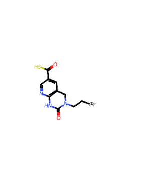 CC(C)CCN1Cc2cc(C(=O)S)cnc2NC1=O